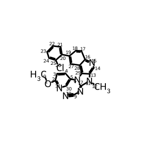 COc1ccc(-n2c(=NC#N)n(C)c3cnc4ccc(-c5ccccc5Cl)cc4c32)cn1